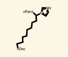 CCCCCCCCCCCCCCCCCCC(CCCCC)[n+]1cc[nH]c1